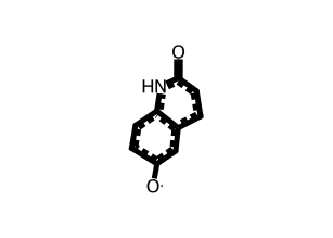 [O]c1ccc2[nH]c(=O)ccc2c1